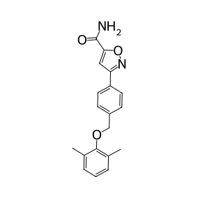 Cc1cccc(C)c1OCc1ccc(-c2cc(C(N)=O)on2)cc1